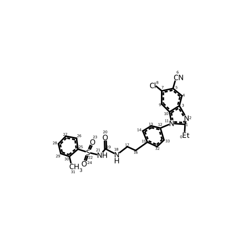 CCc1nc2cc(C#N)c(Cl)cc2n1-c1ccc(CCNC(=O)NS(=O)(=O)c2ccccc2C)cc1